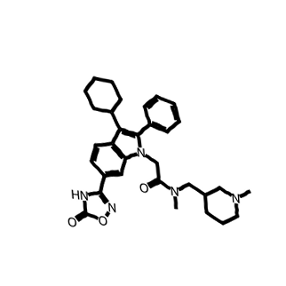 CN1CCCC(CN(C)C(=O)Cn2c(-c3ccccc3)c(C3CCCCC3)c3ccc(-c4noc(=O)[nH]4)cc32)C1